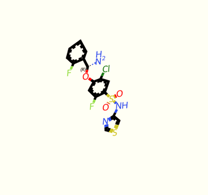 N[C@H](Oc1cc(F)c(S(=O)(=O)Nc2cscn2)cc1Cl)c1ccccc1F